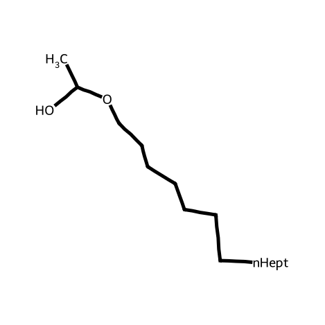 CCCCCCCCCCCCCCOC(C)O